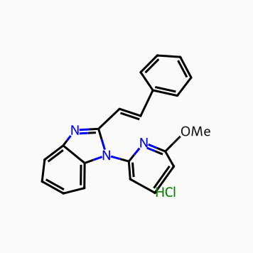 COc1cccc(-n2c(/C=C/c3ccccc3)nc3ccccc32)n1.Cl